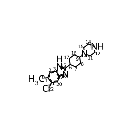 Cc1cc2[nH]c(C3CCC(N4CCNCC4)CC3)nc2cc1Cl